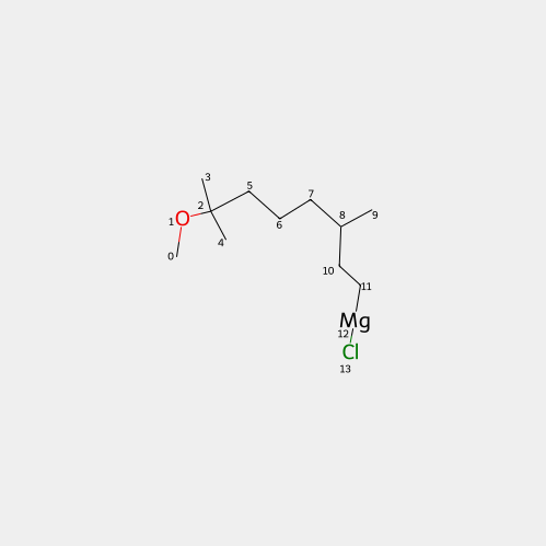 COC(C)(C)CCCC(C)C[CH2][Mg][Cl]